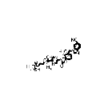 CC(C)(OCCCP(C)(=O)O)c1cnc(N2C[C@]3(CCC[C@](C)(Cn4cnc5ccc(C#N)cc54)C3)OC2=O)cn1